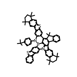 CC(C)(C)c1ccc(N2B3c4cc5sc6ccccc6c5cc4-n4c5cc6c(cc5c5c7c(c(c3c54)-c3cc4sc5cc8c(cc5c4cc32)C(C)(C)CCC8(C)C)C(C)(C)c2ccccc2-7)C(C)(C)CCC6(C)C)cc1